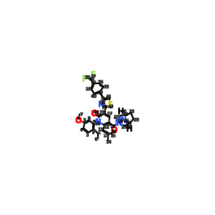 CCc1ccc(OC)cc1-n1c(C=C(C)C)c(C(=O)N2C[C@H]3CC[C@@H](C2)N3)cc(-c2nc(-c3ccc(C(F)F)cc3)cs2)c1=O